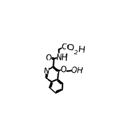 O=C(O)CNC(=O)c1ncc2ccccc2c1OCO